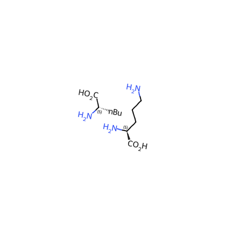 CCCC[C@H](N)C(=O)O.NCCC[C@H](N)C(=O)O